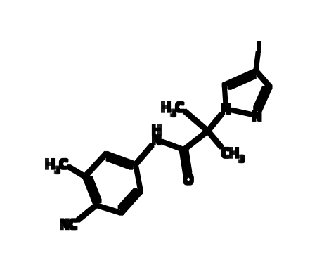 Cc1cc(NC(=O)C(C)(C)n2cc(I)cn2)ccc1C#N